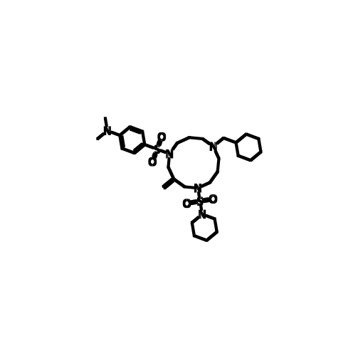 C=C1CN(S(=O)(=O)c2ccc(N(C)C)cc2)CCCN(CC2CCCCC2)CCCN(S(=O)(=O)N2CCCCC2)C1